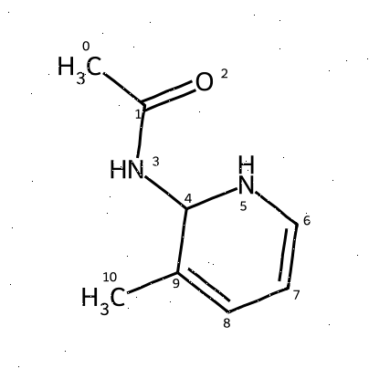 CC(=O)NC1NC=CC=C1C